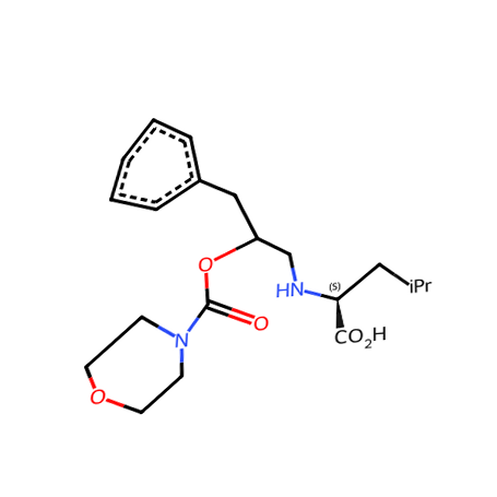 CC(C)C[C@H](NCC(Cc1ccccc1)OC(=O)N1CCOCC1)C(=O)O